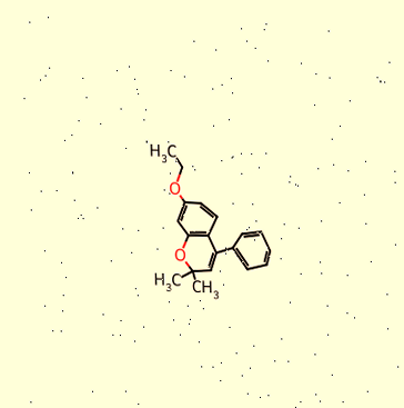 CCOc1ccc2c(c1)OC(C)(C)C=C2c1ccccc1